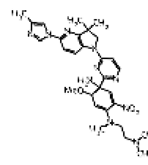 COC1C=C(N(C)CCN(C)C)C([N+](=O)[O-])=CC1(N)c1nccc(N2CC(C)(C)c3nc(-n4cnc(C)c4)ccc32)n1